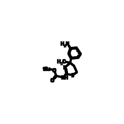 CC(C)(C)OC(=O)NC1=NC(C)(c2cccc(N)c2)CCS1